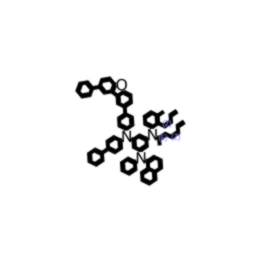 C=C/C=C\C=C(/C)N(c1cc(N(c2ccc(-c3ccccc3)cc2)c2ccc(-c3ccc4oc5ccc(-c6ccccc6)cc5c4c3)cc2)cc(N(c2ccccc2)c2cccc3ccccc23)c1)c1cccc(C)c1/C=C\C=C